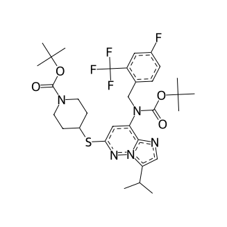 CC(C)c1cnc2c(N(Cc3ccc(F)cc3C(F)(F)F)C(=O)OC(C)(C)C)cc(SC3CCN(C(=O)OC(C)(C)C)CC3)nn12